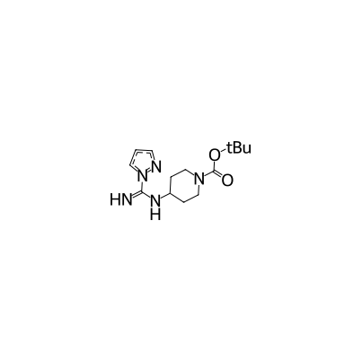 CC(C)(C)OC(=O)N1CCC(NC(=N)n2cccn2)CC1